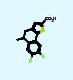 CC1Cc2cc(C(=O)O)sc2-c2cc(F)c(F)cc21